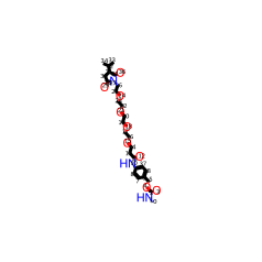 CNC(=O)OCc1ccc(NC(=O)CCOCCOCCOCCOCCN2C(=O)CC(C(C)C)C2=O)cc1